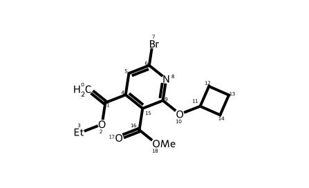 C=C(OCC)c1cc(Br)nc(OC2CCC2)c1C(=O)OC